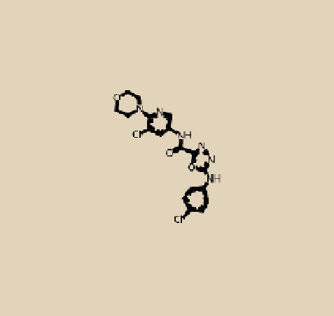 O=C(Nc1cnc(N2CCOCC2)c(Cl)c1)c1nnc(Nc2ccc(Cl)cc2)o1